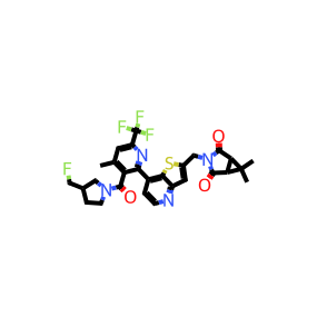 Cc1cc(C(F)(F)F)nc(-c2ccnc3cc(CN4C(=O)C5C(C4=O)C5(C)C)sc23)c1C(=O)N1CCC(CF)C1